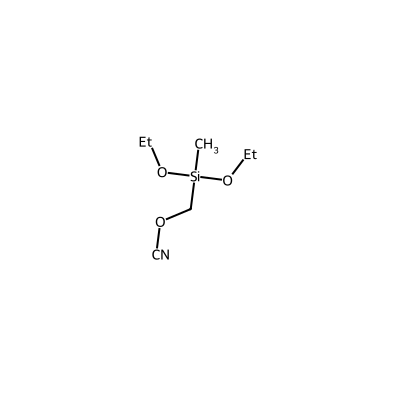 CCO[Si](C)(COC#N)OCC